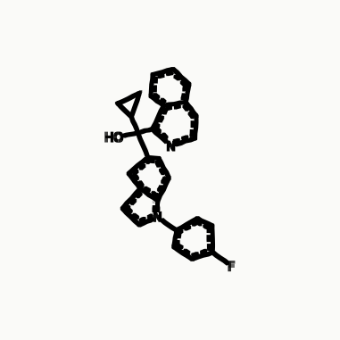 OC(c1ccc2c(ccn2-c2ccc(F)cc2)c1)(c1nccc2ccccc12)C1CC1